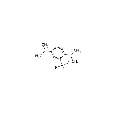 [CH2]C(C)c1ccc(C(C)C)c(C(F)(F)F)c1